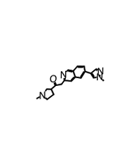 CN1CCC(C(=O)Cc2cc3cc(-c4cnn(C)c4)ccc3cn2)C1